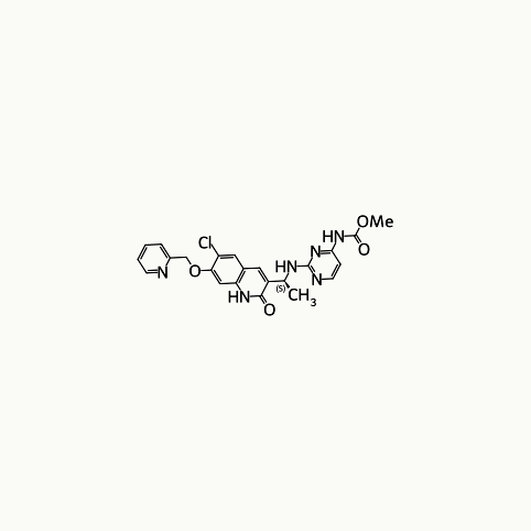 COC(=O)Nc1ccnc(N[C@@H](C)c2cc3cc(Cl)c(OCc4ccccn4)cc3[nH]c2=O)n1